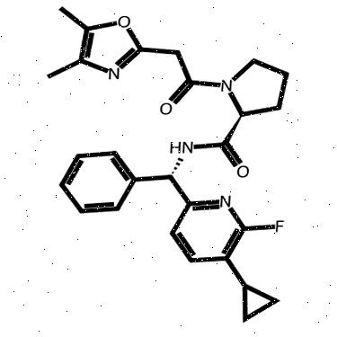 Cc1nc(CC(=O)N2CCC[C@H]2C(=O)N[C@@H](c2ccccc2)c2ccc(C3CC3)c(F)n2)oc1C